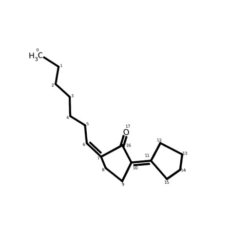 CCCCCCC=C1CCC(=C2CCCC2)C1=O